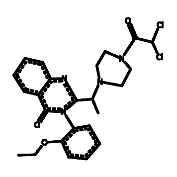 CCOc1ccccc1-n1c(C(C)N2CCN(C(=O)C(Cl)Cl)CC2)nc2ccccc2c1=O